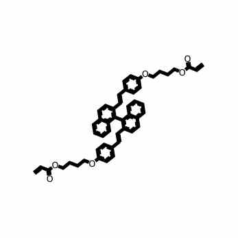 C=CC(=O)OCCCCOc1ccc(/C=C/c2ccc3ccccc3c2-c2c(/C=C/c3ccc(OCCCCOC(=O)C=C)cc3)ccc3ccccc23)cc1